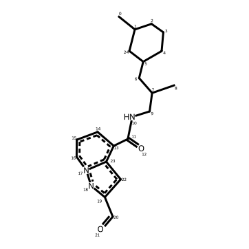 CC1CCCC(CC(C)CNC(=O)c2cccn3nc(C=O)cc23)C1